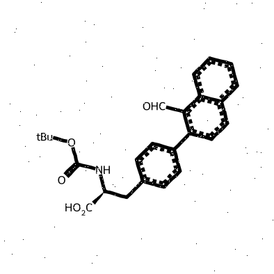 CC(C)(C)OC(=O)N[C@@H](Cc1ccc(-c2ccc3ccccc3c2C=O)cc1)C(=O)O